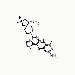 Cc1nc(N)cc(Sc2cnc(N3CCC4(CC3)CC(F)(F)C[C@H]4N)n3ccnc23)c1Cl